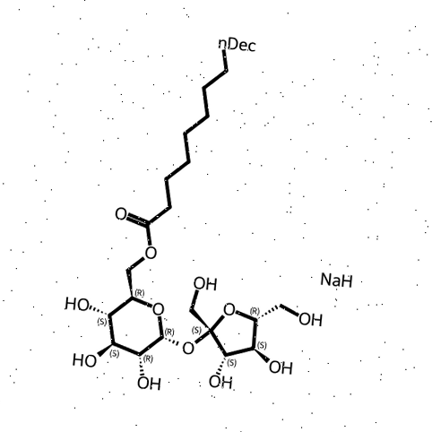 CCCCCCCCCCCCCCCCCC(=O)OC[C@H]1O[C@H](O[C@]2(CO)O[C@H](CO)[C@@H](O)[C@@H]2O)[C@H](O)[C@@H](O)[C@@H]1O.[NaH]